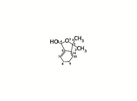 CC1(C)OC(O)C2=CCCC=C21